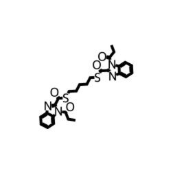 CCC(=O)n1c(C(=O)SCCCCCSC(=O)c2nc3ccccc3n2C(=O)CC)nc2ccccc21